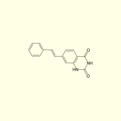 O=c1[nH]c(=O)c2ccc(/C=C/c3ccccc3)cc2[nH]1